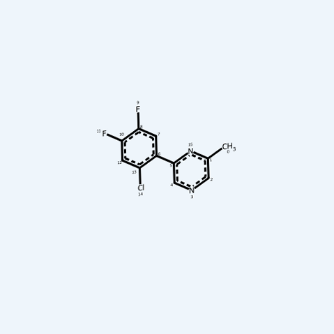 Cc1cncc(-c2cc(F)c(F)cc2Cl)n1